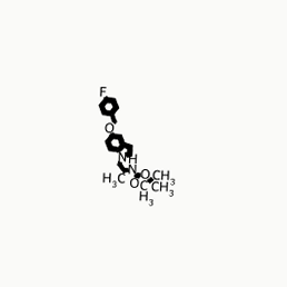 C[C@H](Cn1ccc2cc(OCc3ccc(F)cc3)ccc21)NC(=O)OC(C)(C)C